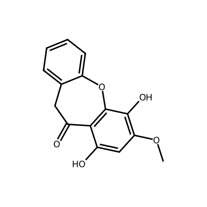 COc1cc(O)c2c(c1O)Oc1ccccc1CC2=O